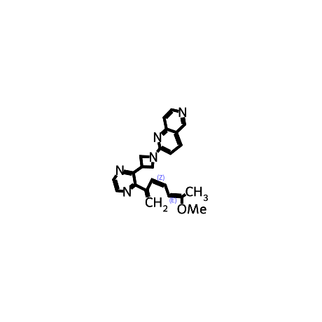 C=C(/C=C\C=C(/C)OC)c1nccnc1C1CN(c2ccc3cnccc3n2)C1